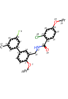 CCCOc1ccc(-c2cc(F)cc(C(=O)O)c2)cc1CNC(=O)c1ccc(OC(C)C)cc1Cl